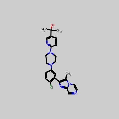 Cc1c(-c2cc(N3CCN(c4ccc(C(C)(C)O)cn4)CC3)ccc2Cl)nc2cnccn12